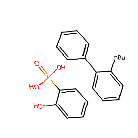 CCCCc1ccccc1-c1ccccc1.O=P(O)(O)c1ccccc1O